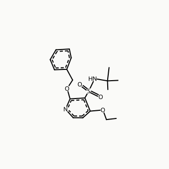 CCOc1ccnc(OCc2ccccc2)c1S(=O)(=O)NC(C)(C)C